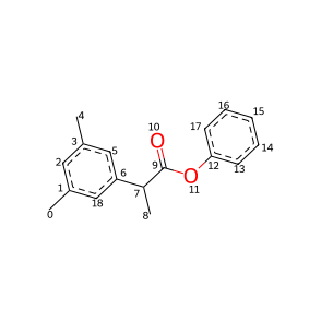 Cc1cc(C)cc(C(C)C(=O)Oc2ccccc2)c1